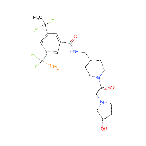 CC(F)(F)c1cc(C(=O)NCC2CCN(C(=O)CN3CCC(O)C3)CC2)cc(C(F)(F)P)c1